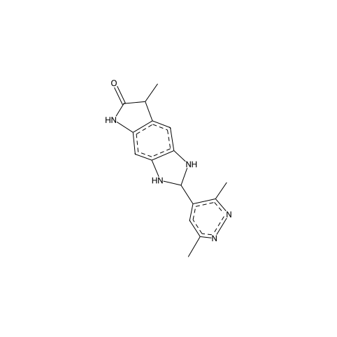 Cc1cc(C2Nc3cc4c(cc3N2)C(C)C(=O)N4)c(C)nn1